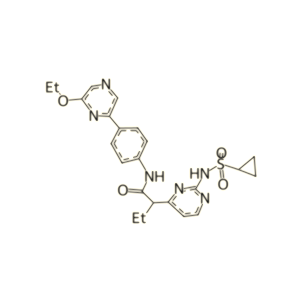 CCOc1cncc(-c2ccc(NC(=O)C(CC)c3ccnc(NS(=O)(=O)C4CC4)n3)cc2)n1